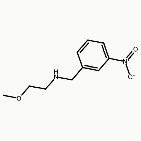 COCCNCc1cccc([N+](=O)[O-])c1